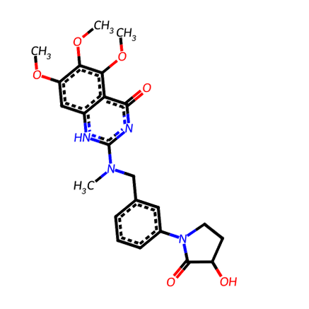 COc1cc2[nH]c(N(C)Cc3cccc(N4CCC(O)C4=O)c3)nc(=O)c2c(OC)c1OC